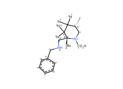 [2H]C1([2H])[C@H](C)CN(C(=O)O)[C@@](CNCc2ccccc2)(C(C)(C)C)C1([2H])[2H]